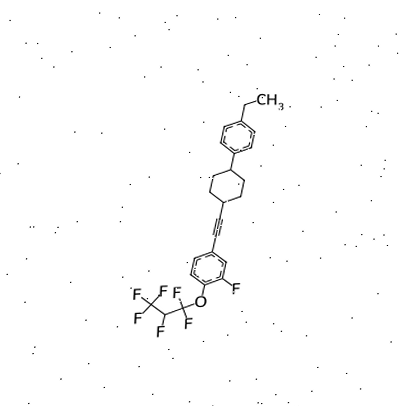 CCc1ccc(C2CCC(C#Cc3ccc(OC(F)(F)C(F)C(F)(F)F)c(F)c3)CC2)cc1